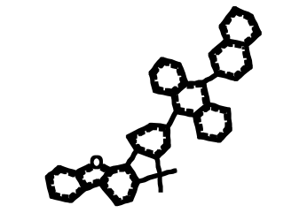 CC1(C)c2cc(-c3c4ccccc4c(-c4ccc5ccccc5c4)c4ccccc34)ccc2-c2c1ccc1c2oc2ccccc21